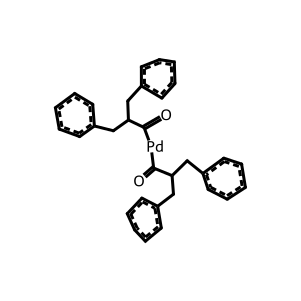 O=[C]([Pd][C](=O)C(Cc1ccccc1)Cc1ccccc1)C(Cc1ccccc1)Cc1ccccc1